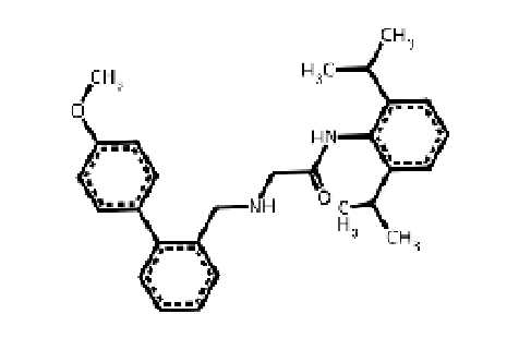 COc1ccc(-c2ccccc2CNCC(=O)Nc2c(C(C)C)cccc2C(C)C)cc1